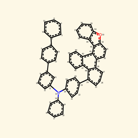 c1ccc(-c2ccc(-c3cccc(N(c4ccccc4)c4ccc(-c5cccc6c7ccc8oc9ccccc9c8c7c7ccccc7c56)cc4)c3)cc2)cc1